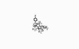 C=N/C(NC1(C)CC1)=C(\C)C(C(=O)NC(CO)c1ccc(F)cc1)=C(C)C